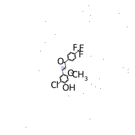 COc1cc(O)c(Cl)cc1/C=C/C(=O)c1ccc(C(F)(F)F)cc1